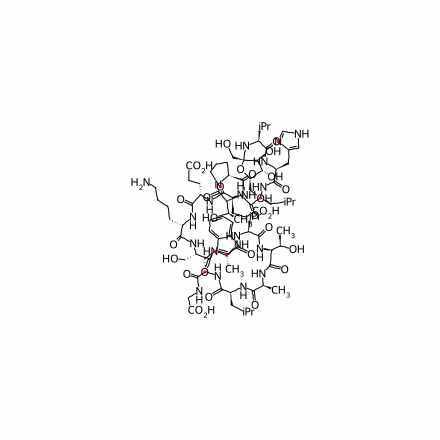 CC(C)C[C@H](NC(=O)[C@H](C)NC(=O)[C@@H](NC(=O)[C@@H](NC(=O)[C@H](C)NC(=O)[C@H](CO)NC(=O)[C@H](CCCCN)NC(=O)[C@H](CCC(=O)O)NC(=O)[C@H](CCC(=O)O)NC(=O)[C@@H]1CCCN1C(=O)[C@@H](NC(=O)[C@H](CC(C)C)NC(=O)[C@H](Cc1c[nH]cn1)NC(=O)[C@@H](N[C@@]1(CO)O[C@H](CO)[C@@H](O)[C@@H]1O)C(C)C)[C@@H](C)O)C(C)C)[C@@H](C)O)C(=O)N[C@@H](Cc1c[nH]c2ccccc12)C(=O)NCC(=O)O